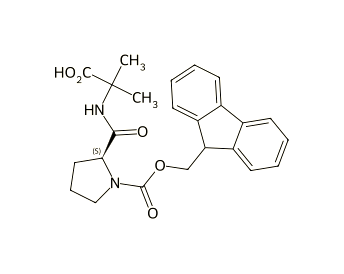 CC(C)(NC(=O)[C@@H]1CCCN1C(=O)OCC1c2ccccc2-c2ccccc21)C(=O)O